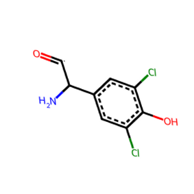 NC([C]=O)c1cc(Cl)c(O)c(Cl)c1